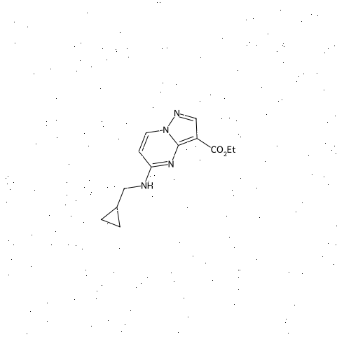 CCOC(=O)c1cnn2ccc(NCC3CC3)nc12